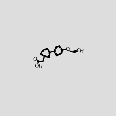 C#CCOc1ccc(-c2cccc(CC(=O)O)c2)cc1